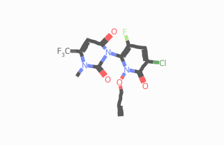 C=CCOn1c(-n2c(=O)cc(C(F)(F)F)n(C)c2=O)c(F)cc(Cl)c1=O